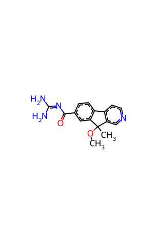 COC1(C)c2cnccc2-c2ccc(C(=O)N=C(N)N)cc21